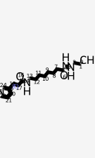 CCCNNC(=O)CCCCCCCNC(=O)/C=C/c1cccnc1